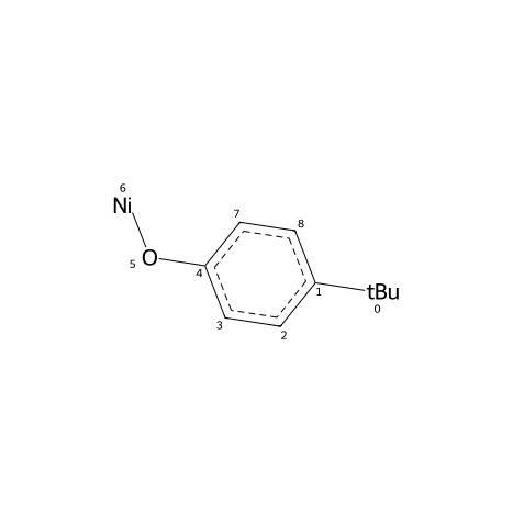 CC(C)(C)c1ccc([O][Ni])cc1